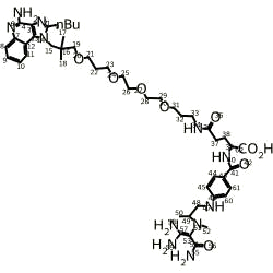 CCCCc1nc2c(N)nc3ccccc3c2n1CC(C)(C)COCCCOCCOCCOCCCNC(=O)CCC(NC(=O)c1ccc(NCC(C)N(C)C(C(N)=O)=C(N)N)cc1)C(=O)O